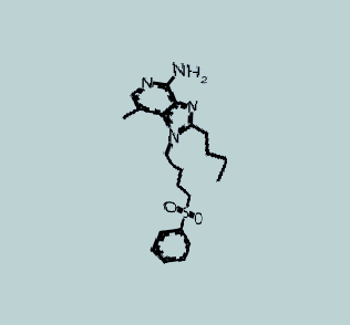 CCCCc1nc2c(N)ncc(C)c2n1CCCCS(=O)(=O)c1ccccc1